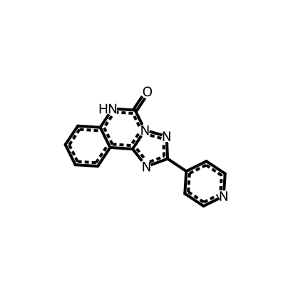 O=c1[nH]c2ccccc2c2nc(-c3ccncc3)nn12